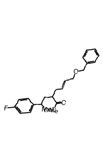 COC(=O)C(CC=CCOCc1ccccc1)CC(OC)c1ccc(F)cc1